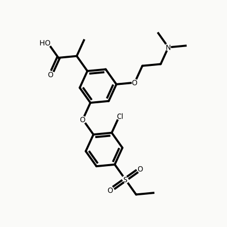 CCS(=O)(=O)c1ccc(Oc2cc(OCCN(C)C)cc(C(C)C(=O)O)c2)c(Cl)c1